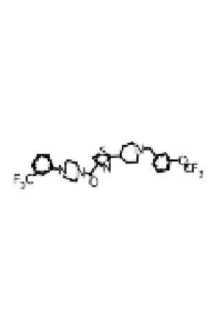 O=C(c1csc(C2CCN(Cc3cccc(OC(F)(F)F)c3)CC2)n1)N1CCN(c2cccc(C(F)(F)F)c2)CC1